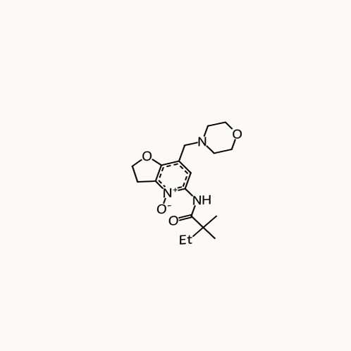 CCC(C)(C)C(=O)Nc1cc(CN2CCOCC2)c2c([n+]1[O-])CCO2